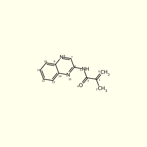 C=C(C)C(=O)Nc1cnc2ccccc2n1